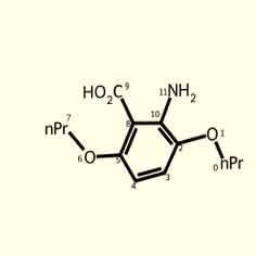 CCCOc1ccc(OCCC)c(C(=O)O)c1N